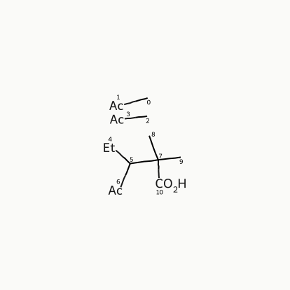 CC(C)=O.CC(C)=O.CCC(C(C)=O)C(C)(C)C(=O)O